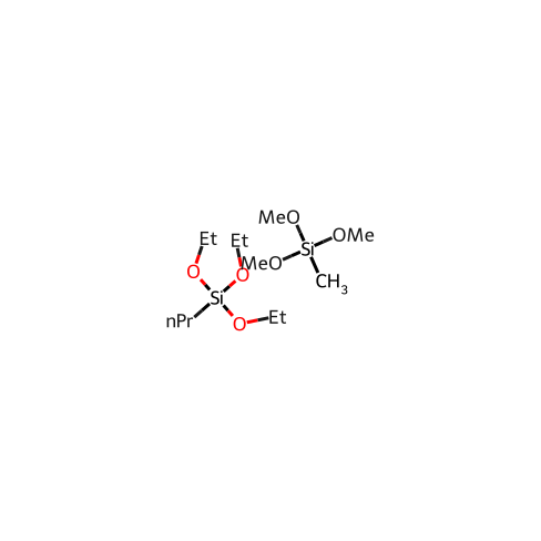 CCC[Si](OCC)(OCC)OCC.CO[Si](C)(OC)OC